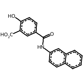 O=C(Nc1ccc2ccccc2c1)c1ccc(O)c(C(=O)O)c1